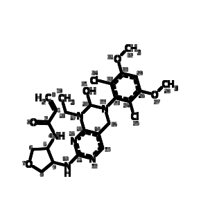 C=CC(=O)NC1COCC1Nc1ncc2c(n1)N(CC)C(O)N(c1c(Cl)c(OC)cc(OC)c1Cl)C2